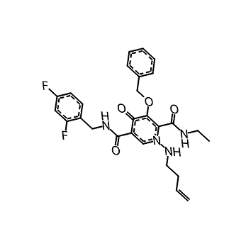 C=CCCNn1cc(C(=O)NCc2ccc(F)cc2F)c(=O)c(OCc2ccccc2)c1C(=O)NCC